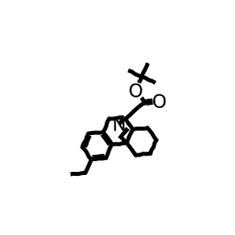 CCc1ccc2c(c1)C13CCCCC1C(C2)N(C(=O)OC(C)(C)C)CC3